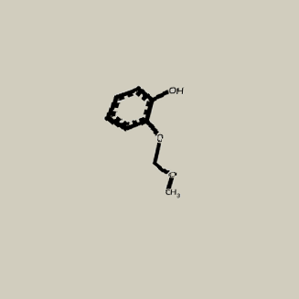 COCOc1ccccc1O